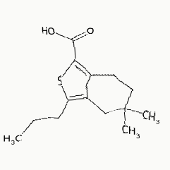 CCCc1sc(C(=O)O)c2c1CC(C)(C)CC2